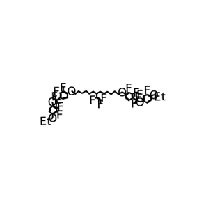 CCOc1ccc(OC(F)(F)c2ccc(OCCCCCCC(CCCCCCOc3ccc(C(F)(F)Oc4ccc(OCC)c(F)c4F)c(F)c3F)C(F)=C(F)F)c(F)c2F)c(F)c1F